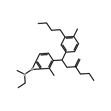 C=C(CCC)CC(c1ccc(C)c(CCCC)c1)c1ccc2c(c1C)B2N(C)CC